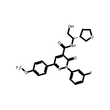 O=C(NC(CO)[C@@H]1CCOC1)c1cc(-c2ccc(OC(F)(F)F)cc2)nn(-c2cccc(F)c2)c1=O